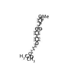 C=C(C)C(=O)OCCCCCCOc1ccc(-c2ccc(OC(=O)/C=C/c3ccc(OC)cc3)cc2)cc1